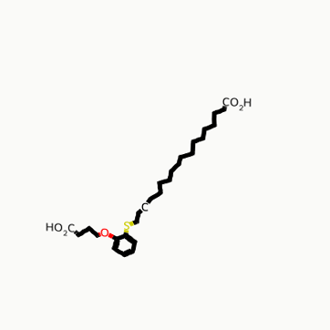 O=C(O)CCCCCCCCCCCCCCCCCSc1ccccc1OCCCC(=O)O